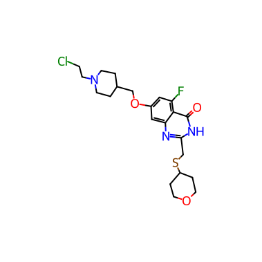 O=c1[nH]c(CSC2CCOCC2)nc2cc(OCC3CCN(CCCl)CC3)cc(F)c12